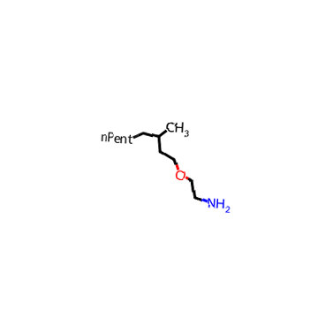 CCCCCCC(C)CCOCCN